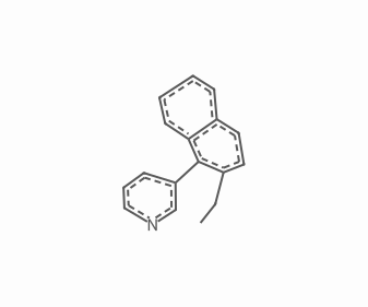 CCc1ccc2ccccc2c1-c1cccnc1